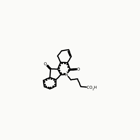 O=C(O)CCCn1c2c(c3c(c1=O)C=CCC3)C(=O)c1ccccc1-2